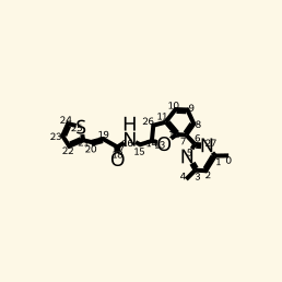 Cc1cc(C)nc(-c2cccc3c2OC(CNC(=O)C=Cc2cccs2)C3)n1